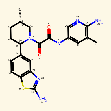 Cc1cc(NC(=O)C(=O)N2C[C@@H](C)CC[C@@H]2c2ccc3sc(N)nc3c2)cnc1N